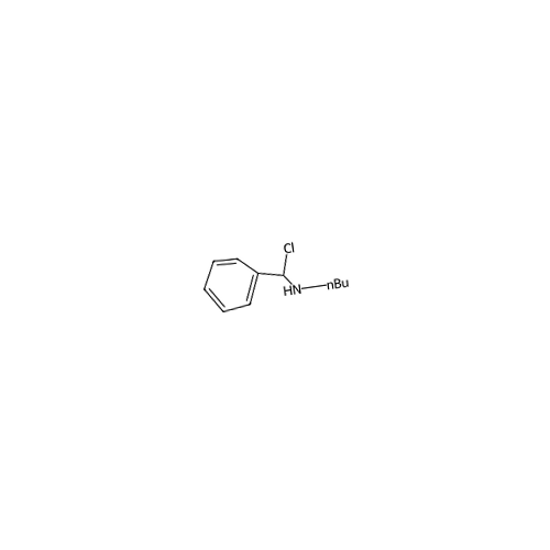 CCCCNC(Cl)c1ccccc1